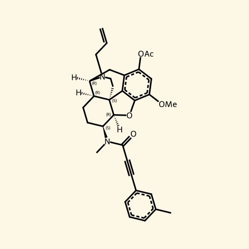 C=CCN1CC[C@]23c4c5c(OC(C)=O)cc(OC)c4O[C@H]2[C@@H](N(C)C(=O)C#Cc2cccc(C)c2)CC[C@H]3[C@H]1C5